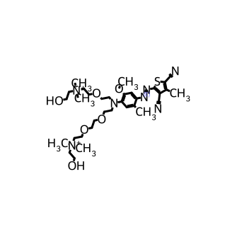 COc1cc(/N=N/c2sc(C#N)c(C)c2C#N)c(C)cc1N(CCOCCOCC[N+](C)(C)CCO)CCOCC[N+](C)(C)CCO